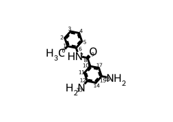 Cc1ccccc1NC(=O)c1cc(N)cc(N)c1